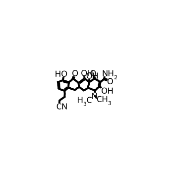 CN(C)C1C(O)=C(C(N)=O)C(=O)C2(O)C(O)=C3C(=O)c4c(O)ccc(CCC#N)c4CC3CC12